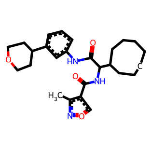 Cc1nocc1C(=O)NC(C(=O)Nc1cccc(C2CCOCC2)c1)C1CCCCCCC1